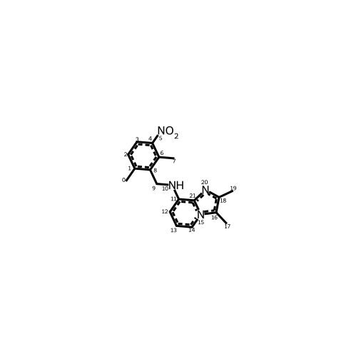 Cc1ccc([N+](=O)[O-])c(C)c1CNc1cccn2c(C)c(C)nc12